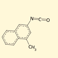 Cc1cc(N=C=O)cc2ccccc12